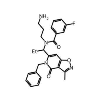 CCC(c1cc2onc(C)c2c(=O)n1Cc1ccccc1)N(CCCN)C(=O)c1cccc(F)c1